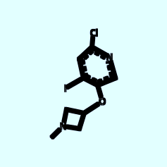 CN1CC(Oc2cnc(Cl)cc2I)C1